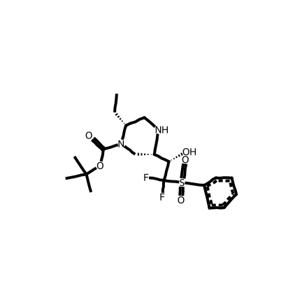 CC[C@@H]1CN[C@H]([C@H](O)C(F)(F)S(=O)(=O)c2ccccc2)CN1C(=O)OC(C)(C)C